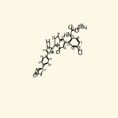 CC(C)(C)OC(=O)Nc1ccc(Cl)cc1-c1cc2n(c(=O)c1)C(c1nc(-c3ccc(C=NO)cc3)c[nH]1)CC2